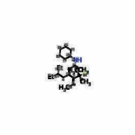 C=C(/C=C(CC(CC)CC)\C(=C/C)C(C)(C)F)NC1CCCCC1